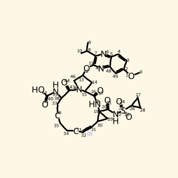 COc1ccc2nc(C(C)C)c(OC3CC4C(=O)NC5(C(=O)NS(=O)(=O)C6CC6)CC5/C=C\CCCCCC(NC(=O)O)C(=O)N4C3)nc2c1